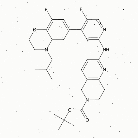 CC(C)CN1CCOc2c(F)cc(-c3nc(Nc4ccc5c(n4)CCN(C(=O)OC(C)(C)C)C5)ncc3F)cc21